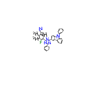 [2H]c1c([2H])c(C#N)c([2H])c(-c2nc(-c3ccccc3)nc(-c3ccc4c(c3)c3ccccc3n4-c3ccccc3)n2)c1F